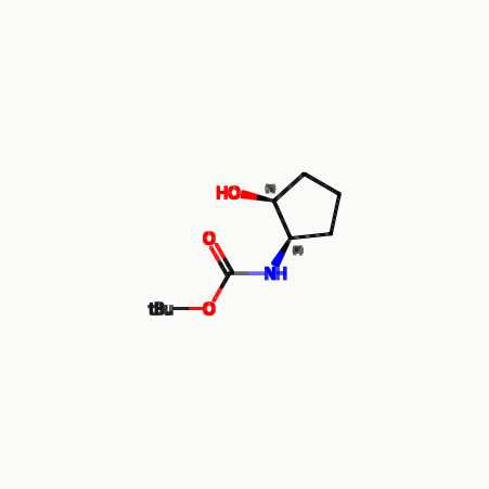 CC(C)(C)OC(=O)N[C@@H]1CCC[C@@H]1O